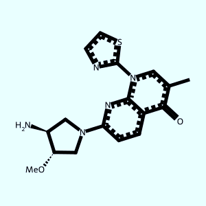 CO[C@H]1CN(c2ccc3c(=O)c(C)cn(-c4nccs4)c3n2)C[C@@H]1N